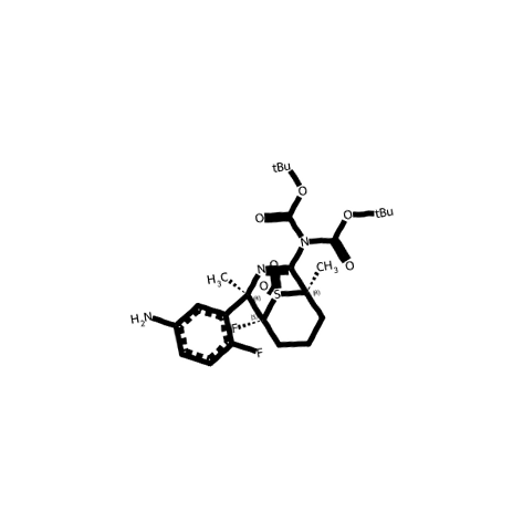 CC(C)(C)OC(=O)N(C(=O)OC(C)(C)C)C1=N[C@](C)(c2cc(N)ccc2F)[C@]2(F)CCC[C@@]1(C)S2(=O)=O